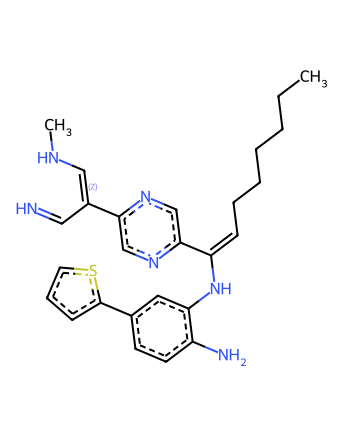 CCCCCCC=C(Nc1cc(-c2cccs2)ccc1N)c1cnc(/C(C=N)=C/NC)cn1